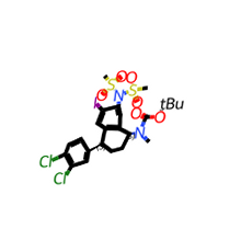 CN(C(=O)OC(C)(C)C)[C@H]1CC[C@@H](c2ccc(Cl)c(Cl)c2)c2cc(I)c(N(S(C)(=O)=O)S(C)(=O)=O)cc21